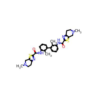 Cc1c(NC(=O)c2nc3c(s2)CN(C)CC3)cccc1-c1cccc(NC(=O)c2nc3c(s2)CN(C)CC3)c1C